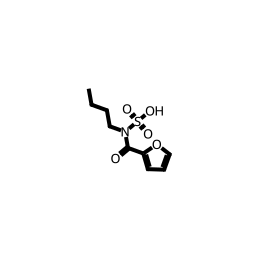 CCCCN(C(=O)c1ccco1)S(=O)(=O)O